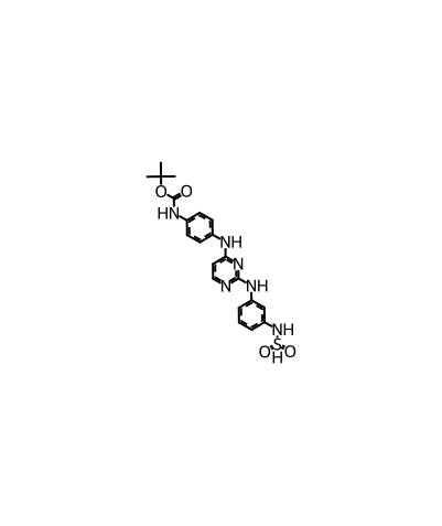 CC(C)(C)OC(=O)Nc1ccc(Nc2ccnc(Nc3cccc(N[SH](=O)=O)c3)n2)cc1